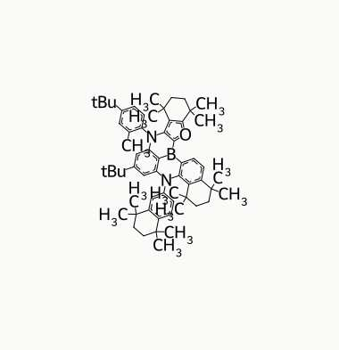 Cc1cc(C(C)(C)C)ccc1N1c2cc(C(C)(C)C)cc3c2B(c2ccc4c(c2N3c2ccc3c(c2)C(C)(C)CCC3(C)C)C(C)(C)CCC4(C)C)c2oc3c(c21)C(C)(C)CCC3(C)C